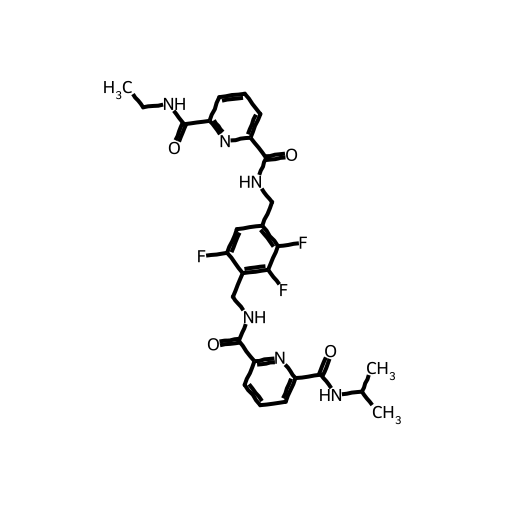 CCNC(=O)c1cccc(C(=O)NCc2cc(F)c(CNC(=O)c3cccc(C(=O)NC(C)C)n3)c(F)c2F)n1